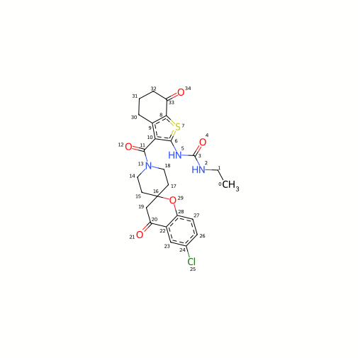 CCNC(=O)Nc1sc2c(c1C(=O)N1CCC3(CC1)CC(=O)c1cc(Cl)ccc1O3)CCCC2=O